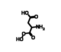 NC(CC(=O)O)C(=O)OO